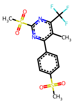 Cc1c(-c2ccc(S(C)(=O)=O)cc2)nc(S(C)(=O)=O)nc1C(F)(F)F